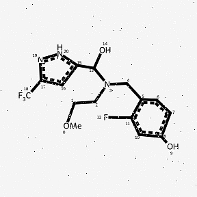 COCCN(Cc1ccc(O)cc1F)C(O)c1cc(C(F)(F)F)n[nH]1